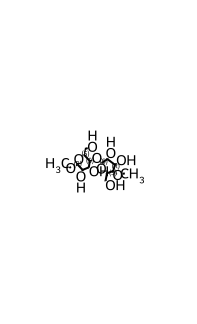 CO[C@@H]1O[C@@H](CO)[C@@H](O[C@@H]2OC(CO)[C@@H](OC)[C@H](O)C2O)C(O)C1O